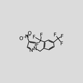 O=[N+]([O-])c1cnn(Cc2ccc(C(F)(F)F)cc2C(F)(F)F)c1